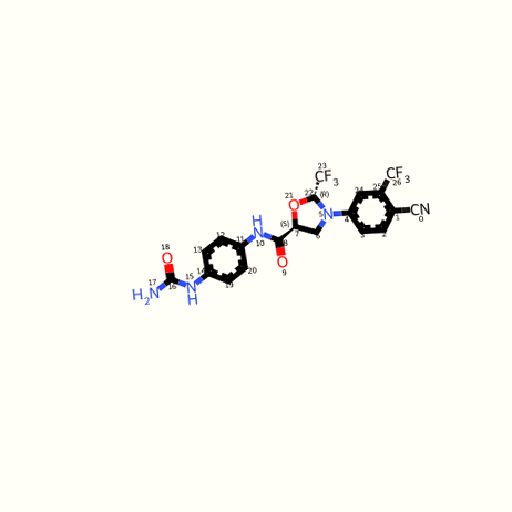 N#Cc1ccc(N2C[C@@H](C(=O)Nc3ccc(NC(N)=O)cc3)O[C@@H]2C(F)(F)F)cc1C(F)(F)F